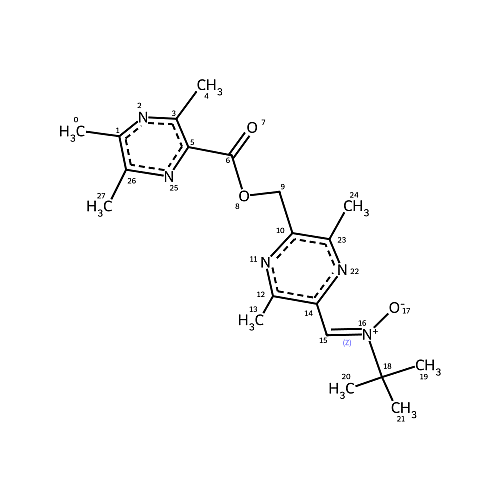 Cc1nc(C)c(C(=O)OCc2nc(C)c(/C=[N+](\[O-])C(C)(C)C)nc2C)nc1C